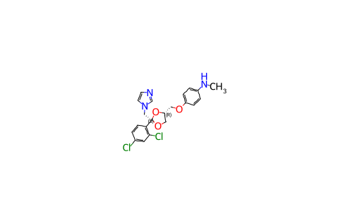 CNc1ccc(OC[C@@H]2CO[C@@](Cn3ccnc3)(c3ccc(Cl)cc3Cl)O2)cc1